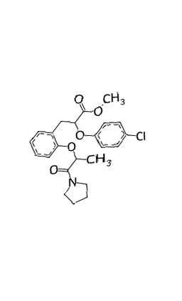 COC(=O)C(Cc1ccccc1OC(C)C(=O)N1CCCC1)Oc1ccc(Cl)cc1